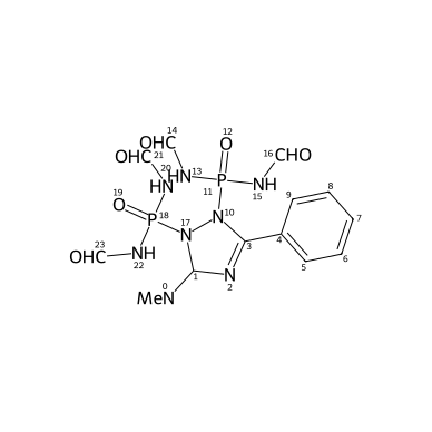 CNC1N=C(c2ccccc2)N(P(=O)(NC=O)NC=O)N1P(=O)(NC=O)NC=O